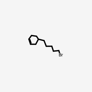 BrCCCCCC1CC=CCC1